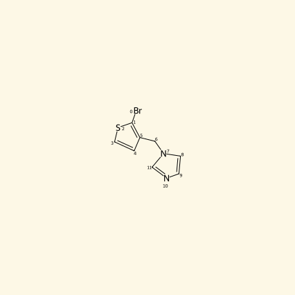 Brc1sccc1Cn1ccnc1